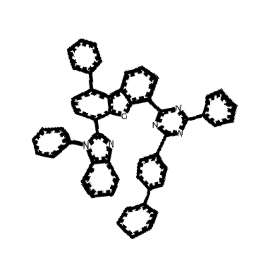 c1ccc(-c2ccc(-c3nc(-c4ccccc4)nc(-c4cccc5c4oc4c(-c6nc7ccccc7n6-c6ccccc6)ccc(-c6ccccc6)c45)n3)cc2)cc1